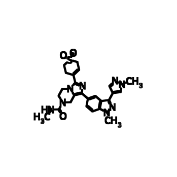 CNC(=O)N1CCn2c(C3=CCS(=O)(=O)CC3)nc(-c3ccc4c(c3)c(-c3cnn(C)c3)nn4C)c2C1